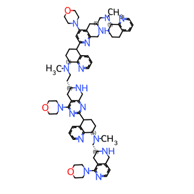 CN(C[C@@H]1Cc2c(N3CCOCC3)cc(C3CC[C@H](N(C)CC[C@H]4Cc5c(nc(C6CC[C@H](N(C)C[C@H]7Cc8c(ccnc8N8CCOCC8)CN7)c7ncccc76)nc5N5CCOCC5)CN4)c4ncccc43)nc2CN1)[C@H]1CCCc2cccnc21